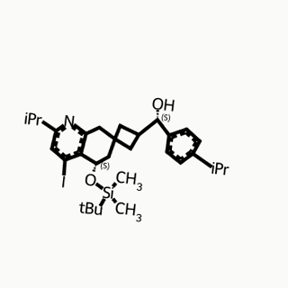 CC(C)c1ccc([C@@H](O)C2CC3(Cc4nc(C(C)C)cc(I)c4[C@@H](O[Si](C)(C)C(C)(C)C)C3)C2)cc1